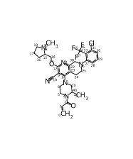 C=CC(=O)N1CCN(c2c(C#N)c(OCC3CCCN3C)nc3c2CCN(c2cccc(Cl)c2C(F)(F)F)C3)CC1C